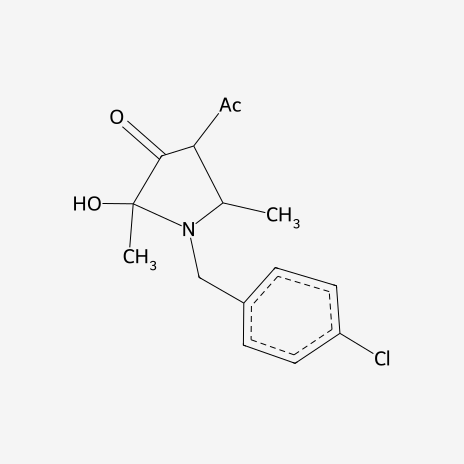 CC(=O)C1C(=O)C(C)(O)N(Cc2ccc(Cl)cc2)C1C